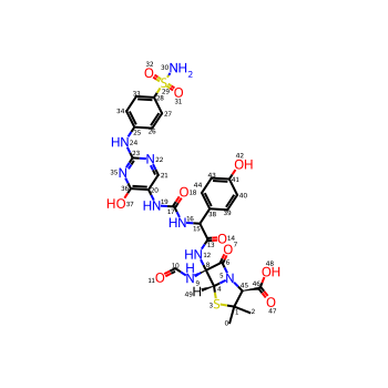 CC1(C)S[C@H]2N(C(=O)[C@@]2(NC=O)NC(=O)C(NC(=O)Nc2cnc(Nc3ccc(S(N)(=O)=O)cc3)nc2O)c2ccc(O)cc2)[C@H]1C(=O)O